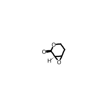 O=C1OCCC2O[C@@H]12